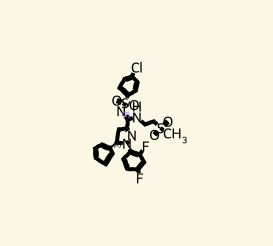 CS(=O)(=O)CCN/C(=N\S(=O)(=O)c1ccc(Cl)cc1)C1=NN(c2ccc(F)cc2F)[C@@H](c2ccccc2)C1